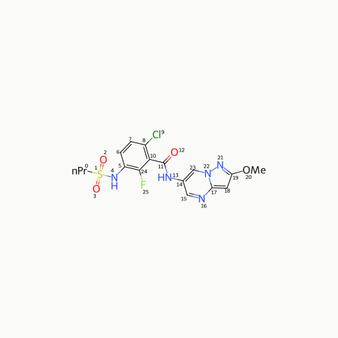 CCCS(=O)(=O)Nc1ccc(Cl)c(C(=O)Nc2cnc3cc(OC)nn3c2)c1F